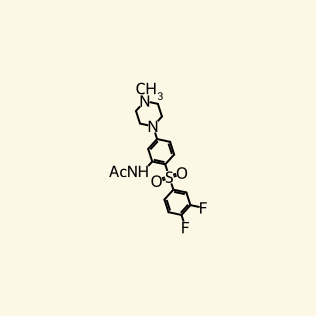 CC(=O)Nc1cc(N2CCN(C)CC2)ccc1S(=O)(=O)c1ccc(F)c(F)c1